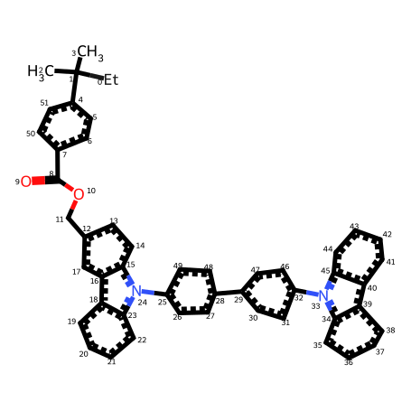 CCC(C)(C)c1ccc(C(=O)OCc2ccc3c(c2)c2ccccc2n3-c2ccc(-c3ccc(-n4c5ccccc5c5ccccc54)cc3)cc2)cc1